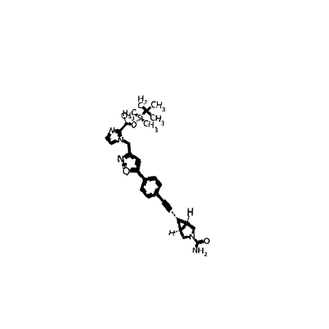 C[C@H](O[Si](C)(C)C(C)(C)C)c1nccn1Cc1cc(-c2ccc(C#C[C@@H]3[C@H]4CN(C(N)=O)C[C@@H]34)cc2)on1